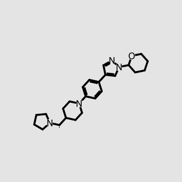 [CH](C1CCN(c2ccc(-c3cnn(C4CCCCO4)c3)cc2)CC1)N1CCCC1